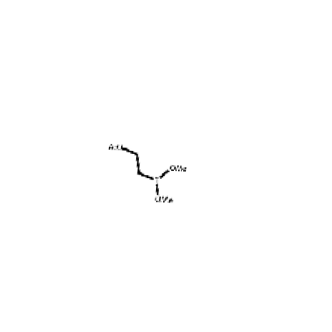 C[O][Ti]([CH2]COC(C)=O)[O]C